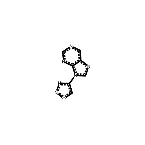 c1ncc2ncn(-c3conn3)c2n1